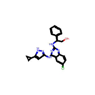 OCC(Nc1nc(Nc2cc(C3CC3)[nH]n2)c2cc(Cl)ccc2n1)c1ccccc1